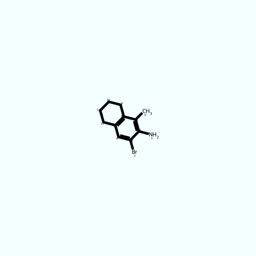 Cc1c(N)c(Br)cc2c1CCCC2